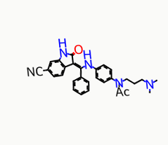 CC(=O)N(CCCN(C)C)c1ccc(N/C(=C2\C(=O)Nc3cc(C#N)ccc32)c2ccccc2)cc1